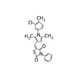 Cc1ccc(-n2c(C)cc(C=C3SC(=O)N(c4ccccc4)C3=O)c2C)cc1Cl